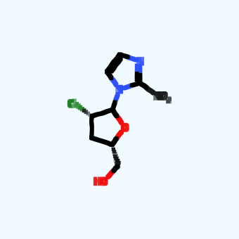 O=[N+]([O-])c1nccn1C1O[C@H](CO)C[C@@H]1Cl